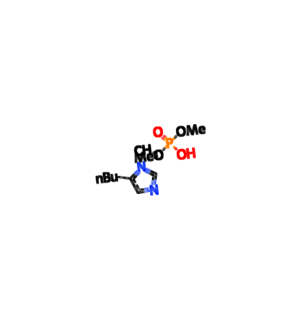 CCCCc1cncn1C.COP(=O)(O)OC